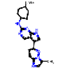 COC1CCC(Nc2ncc3c(-c4ccc5ncc(C)n5n4)c[nH]c3n2)CC1